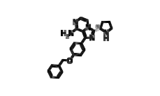 Nc1nccn2c([C@@H]3CCCN3)nc(-c3ccc(OCc4ccccc4)cc3)c12